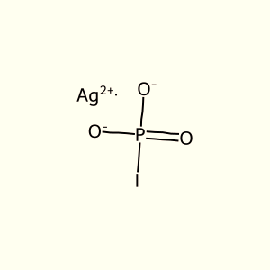 O=P([O-])([O-])I.[Ag+2]